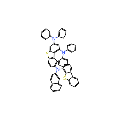 C1=CCCC(N(c2ccccc2)c2cc(N(c3ccccc3)c3ccccc3)c3c(c2)sc2ccc(N(c4ccc5ccccc5c4)c4cccc5c4sc4ccccc45)cc23)=C1